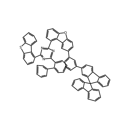 c1ccc(-c2ccccc2-c2nc(-c3cccc4oc5ccc(-c6cccc(-c7ccc8c(c7)C7(c9ccccc9-c9ccccc97)c7ccccc7-8)c6)cc5c34)nc(-c3cccc4sc5ccccc5c34)n2)cc1